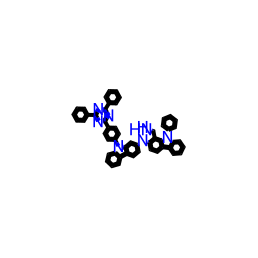 N=Cc1c(Nc2ccc3c4ccccc4n(-c4ccc(-c5nc(-c6ccccc6)nc(-c6ccccc6)n5)cc4)c3c2)ccc2c3ccccc3n(-c3ccccc3)c12